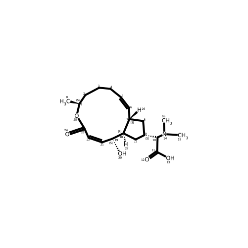 C[C@H]1CCCC=C[C@@H]2C[C@H](C(C(=O)O)N(C)C)C[C@H]2[C@H](O)C=CC(=O)O1